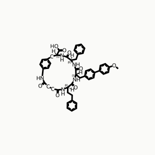 COc1ccc(-c2ccc(C[C@@H]3NC(=O)[C@@H](CCc4ccccc4)NC(=O)CCC(=O)Nc4ccc(cc4)C[C@@H](C(=O)O)NC(=O)[C@@H](Cc4ccccc4)NC3=O)cc2)cc1